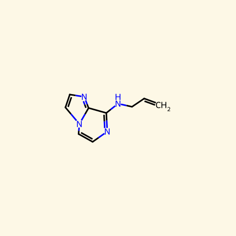 C=CCNc1nccn2ccnc12